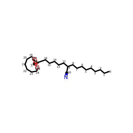 [CH2]CCCCCCCCC(C#N)CCCCC[C]1OC2CCCCC(COCC2)O1